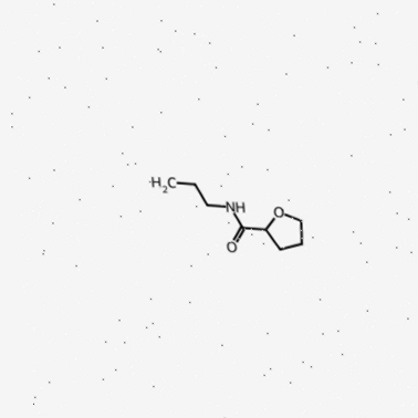 [CH2]CCNC(=O)C1CCCO1